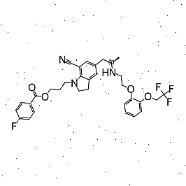 C[C@H](Cc1cc(C#N)c2c(c1)CCN2CCCOC(=O)c1ccc(F)cc1)NCCOc1ccccc1OCC(F)(F)F